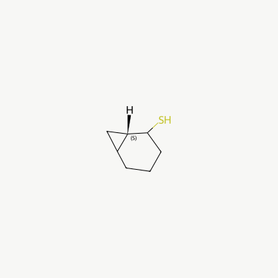 SC1CCCC2C[C@H]12